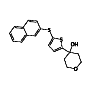 OC1(c2ccc(Sc3ccc4ccccc4c3)s2)CCOCC1